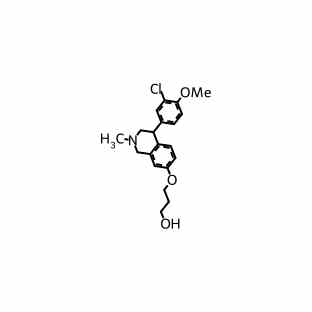 COc1ccc(C2CN(C)Cc3cc(OCCCO)ccc32)cc1Cl